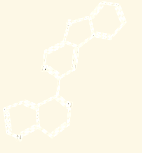 c1ccc2c(c1)sc1cnc(-c3nccc4ncccc34)cc12